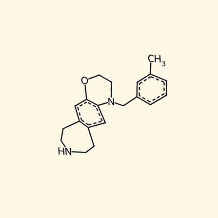 Cc1cccc(CN2CCOc3cc4c(cc32)CCNCC4)c1